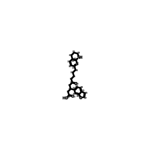 O=C(O)CC(CC(=O)CCCCc1ccc2c(n1)NCCC2)c1ccc2ccoc2c1